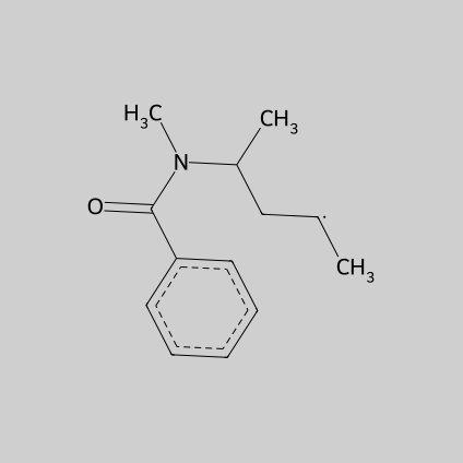 C[CH]CC(C)N(C)C(=O)c1ccccc1